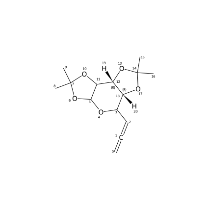 C=C=CC1OC2OC(C)(C)OC2[C@@H]2OC(C)(C)O[C@H]12